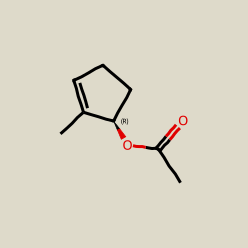 CC(=O)O[C@@H]1CCC=C1C